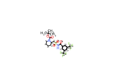 CC(C)(C)OC(=O)N1CCCCC1CS(=O)(=O)NC(=O)c1cc(C(F)(F)F)cc(C(F)(F)F)c1